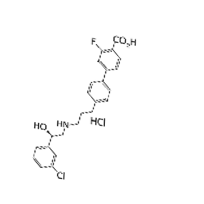 Cl.O=C(O)c1ccc(-c2ccc(CCCNC[C@H](O)c3cccc(Cl)c3)cc2)cc1F